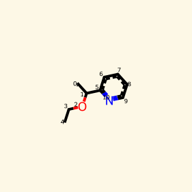 [CH2]C(OCC)c1ccccn1